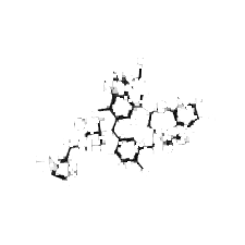 CC[C@@H]1CN(Cc2cc([C@@H](c3ccc4c(nnn4CC)c3C)C(C)(C)C(=O)NCc3ncc[nH]3)ccc2C)S(=O)(=O)c2cccnc2O1